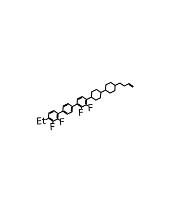 C=CCCC1CCC(C2CCC(c3ccc(-c4ccc(-c5ccc(CC)c(F)c5F)cc4)c(F)c3F)CC2)CC1